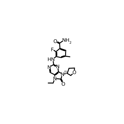 CCn1c(=O)n([C@H]2CCOC2)c2nc(Nc3cc(C)cc(C(N)=O)c3F)ncc21